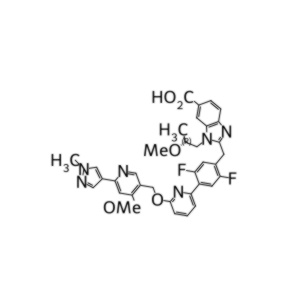 COc1cc(-c2cnn(C)c2)ncc1COc1cccc(-c2cc(F)c(Cc3nc4ccc(C(=O)O)cc4n3C[C@@H](C)OC)cc2F)n1